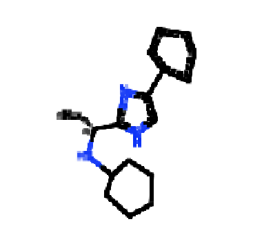 CCCCCC[C@@H](NC1CCCCC1)c1nc(-c2ccccc2)c[nH]1